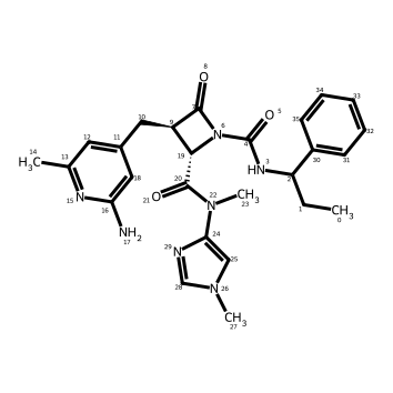 CCC(NC(=O)N1C(=O)[C@H](Cc2cc(C)nc(N)c2)[C@H]1C(=O)N(C)c1cn(C)cn1)c1ccccc1